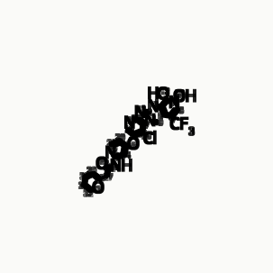 Cn1c(Nc2cc(C(F)(F)F)cn(O)c2=O)nc2ncc(Oc3ccnc(NC(=O)C[C@@H]4CCCCO4)c3)c(Cl)c21